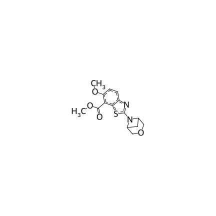 COC(=O)c1c(OC)ccc2nc(N3C4COCC3C4)sc12